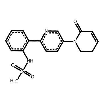 CS(=O)(=O)Nc1ccccc1-c1ccc(N2CCC=CC2=O)cn1